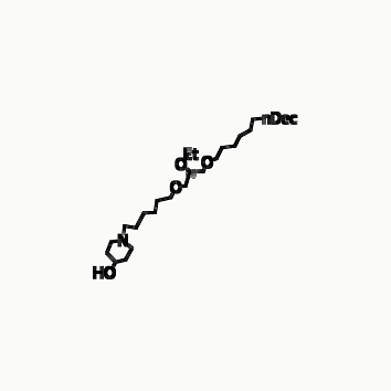 CCCCCCCCCCCCCCCCOC[C@@H](COCCCCCCN1CCC(O)CC1)OCC